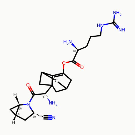 N#C[C@@H]1C[C@@H]2C[C@@H]2N1C(=O)[C@@H](N)C12CC3CC(OC(=O)[C@@H](N)CCCNC(=N)N)=C1C(C3)C2